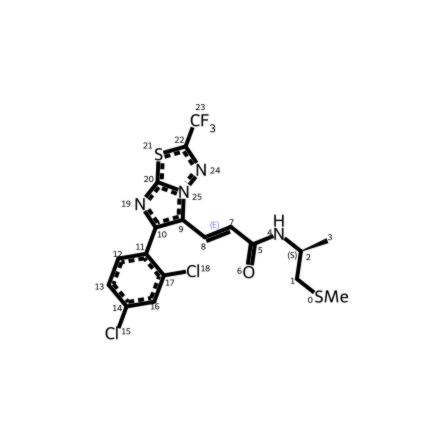 CSC[C@H](C)NC(=O)/C=C/c1c(-c2ccc(Cl)cc2Cl)nc2sc(C(F)(F)F)nn12